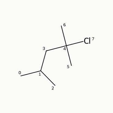 CC(C)CC(C)(C)Cl